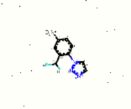 O=[N+]([O-])c1ccc(-n2ccnn2)c(C(F)F)c1